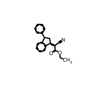 CCOC(=O)C(C#N)=C1CC(c2ccccc2)c2ccccc21